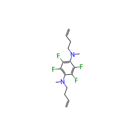 C=CCCN(C)c1c(F)c(F)c(N(C)CCC=C)c(F)c1F